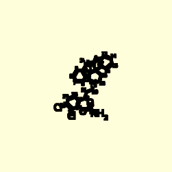 CC(=O)N([C@@H](C)c1ccccc1)C1(c2ccccc2)CCN(CCC(OC(N)=O)c2ccc(Cl)c(Cl)c2)CC1